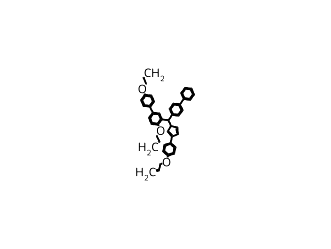 C=CCOc1ccc(C2=CC(C(c3ccc(-c4ccccc4)cc3)c3cc(-c4ccc(OCC=C)cc4)ccc3OCC=C)C=C2)cc1